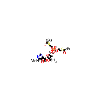 CNc1ncnc2c([C@@H]3O[C@H](COP(=O)(OCCSC(=O)C(C)(C)C)OCCSC(=O)C(C)(C)C)C[C@@]3(C)O)coc12